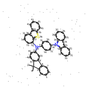 CC1(C)c2ccccc2-c2cc(N(c3ccc(-n4c5ccccc5c5ccccc54)cc3)c3cccc4c3sc3ccccc34)ccc21